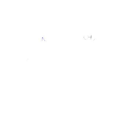 C[C@H]1C=Nc2ccccc2C1